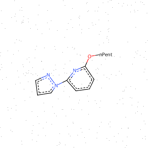 CCCCCOc1cccc(-n2cccn2)n1